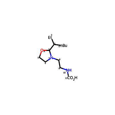 CCCCC(CC)C1OCCN1CCNC(=O)O